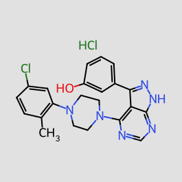 Cc1ccc(Cl)cc1N1CCN(c2ncnc3[nH]nc(-c4cccc(O)c4)c23)CC1.Cl